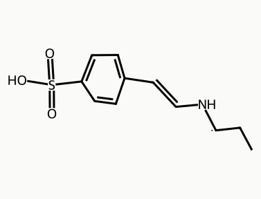 CC[CH]NC=Cc1ccc(S(=O)(=O)O)cc1